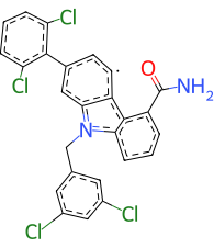 NC(=O)c1cccc2c1c1[c]cc(-c3c(Cl)cccc3Cl)cc1n2Cc1cc(Cl)cc(Cl)c1